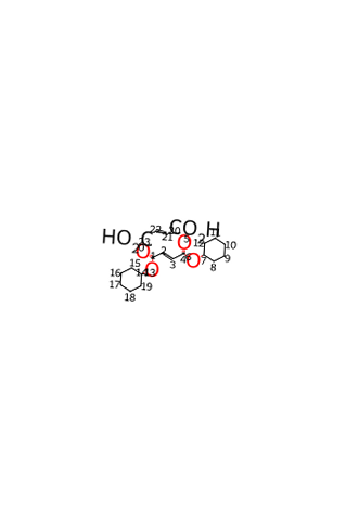 O=C(C=CC(=O)OC1CCCCC1)OC1CCCCC1.O=C(O)C=CC(=O)O